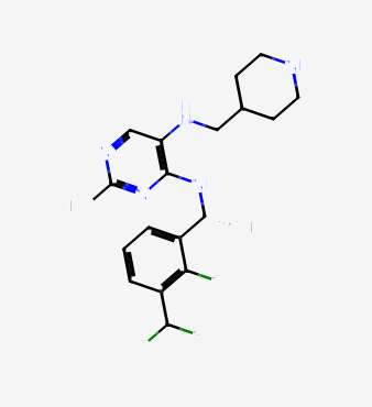 Cc1ncc(NCC2CCNCC2)c(N[C@H](C)c2cccc(C(F)F)c2F)n1